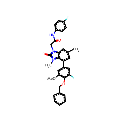 COc1cc(-c2cc(C)cc3c2n(C)c(=O)n3CC(=O)Nc2ccc(F)cc2)cc(F)c1OCc1ccccc1